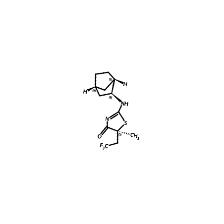 C[C@@]1(CC(F)(F)F)SC(N[C@H]2C[C@@H]3CC[C@H]2C3)=NC1=O